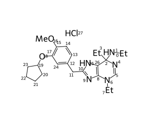 CCNC1(CC)N=CN(CC)c2nc(Cc3ccc(OC)c(OC4CCCC4)c3)[nH]c21.Cl